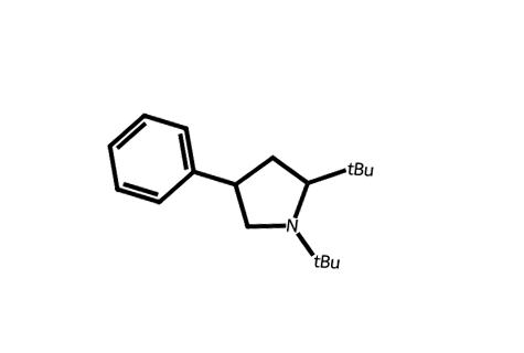 CC(C)(C)C1CC(c2ccccc2)CN1C(C)(C)C